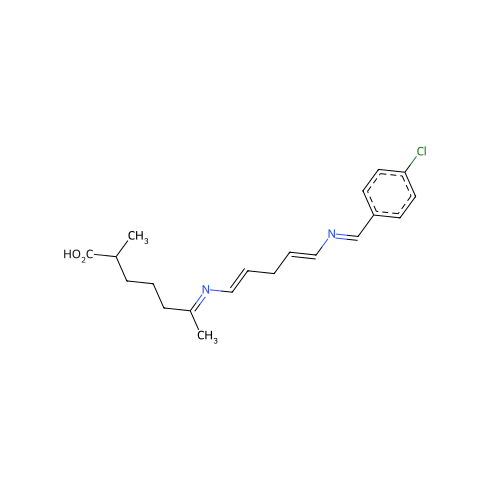 C/C(CCCC(C)C(=O)O)=N\C=C\C/C=C/N=C/c1ccc(Cl)cc1